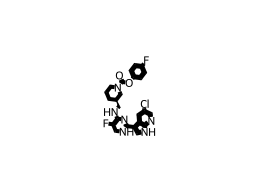 O=C(Oc1ccc(F)cc1)N1CCC[C@H](CNC2=C(F)CNC(c3c[nH]c4ncc(Cl)cc34)=N2)C1